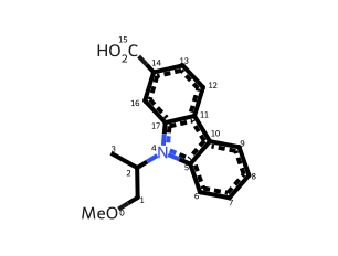 COCC(C)n1c2ccccc2c2ccc(C(=O)O)cc21